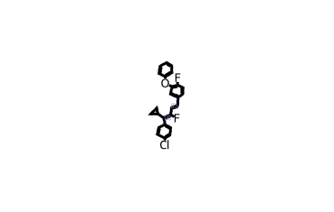 FC(/C=C/c1ccc(F)c(Oc2ccccc2)c1)=C(\c1ccc(Cl)cc1)C1CC1